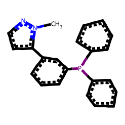 Cn1nccc1-c1cccc(P(c2ccccc2)c2ccccc2)c1